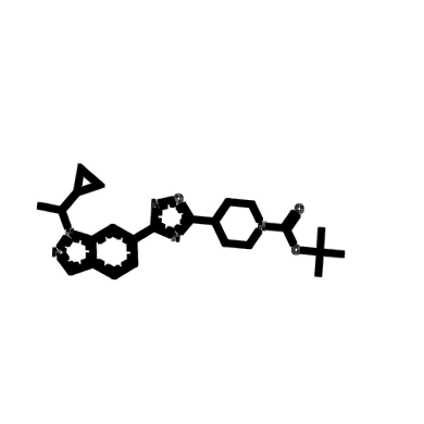 CC(C1CC1)n1ncc2ccc(-c3noc(C4CCN(C(=O)OC(C)(C)C)CC4)n3)cc21